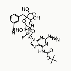 CC(C)(C)OC(=O)Nc1nc(N=[N+]=[N-])nc2c1ncn2[C@@H]1O[C@@H]2C(OC(Cc3cccc(C#N)c3)(C(=O)O)C(=O)O)[C@]2(O)[C@@H]1F